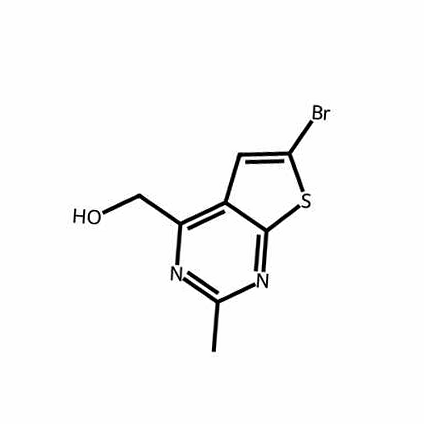 Cc1nc(CO)c2cc(Br)sc2n1